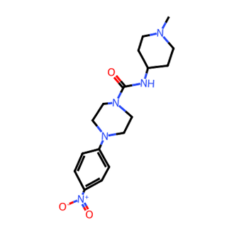 CN1CCC(NC(=O)N2CCN(c3ccc([N+](=O)[O-])cc3)CC2)CC1